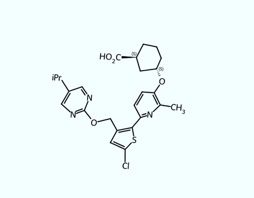 Cc1nc(-c2sc(Cl)cc2COc2ncc(C(C)C)cn2)ccc1O[C@H]1CCC[C@H](C(=O)O)C1